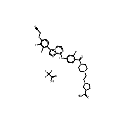 N#CCOc1ccc(-c2cnc3c(Nc4ccc(C(=O)N5CCN(CCN6CCC(C(=O)O)C6)CC5)c(Cl)c4)nccn23)c(F)c1F.O=C(O)C(F)(F)F